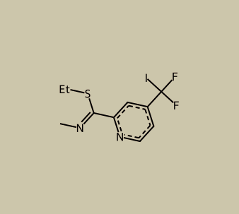 CCS/C(=N\C)c1cc(C(F)(F)I)ccn1